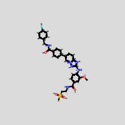 COc1cc(C(=O)NCCS(C)(=O)=O)ccc1Nc1nc2ccc(-c3ccc(C(=O)NCc4ccc(F)cc4)cc3)cn2n1